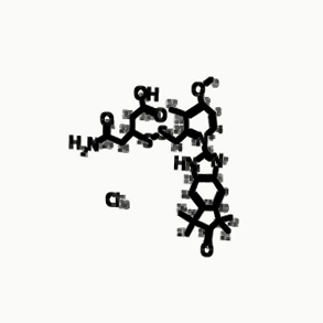 COc1cc[n+](-c2nc3cc4c(cc3[nH]2)C(C)(C)C(=O)C4(C)C)c(CSSC(CC(N)=O)CC(=O)O)c1C.[Cl-]